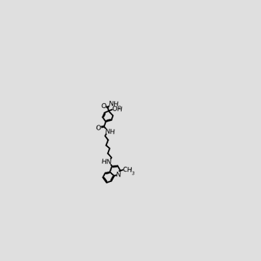 Cc1cc(NCCCCCCNC(=O)C2=CCC(O)(C(N)=O)C=C2)c2ccccc2n1